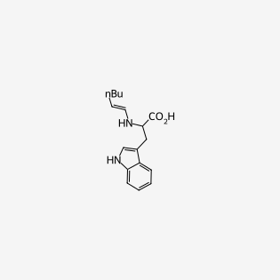 CCCCC=CNC(Cc1c[nH]c2ccccc12)C(=O)O